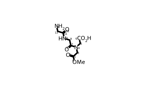 COC(=O)CN(CC(=O)O)C(=O)CNC(=O)CN